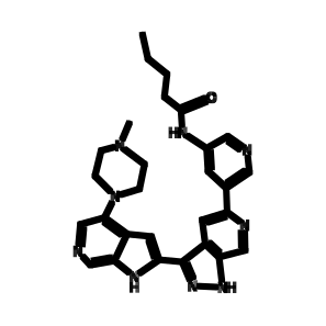 CCCCC(=O)Nc1cncc(-c2cc3c(-c4cc5c(N6CCN(C)CC6)cncc5[nH]4)n[nH]c3cn2)c1